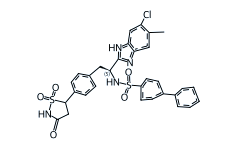 Cc1cc2nc([C@H](Cc3ccc(C4CC(=O)NS4(=O)=O)cc3)NS(=O)(=O)c3ccc(-c4ccccc4)cc3)[nH]c2cc1Cl